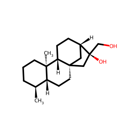 C[C@H]1CCC[C@]2(C)[C@@H]1CC[C@@]13C[C@H](CC[C@H]12)[C@](O)(CO)C3